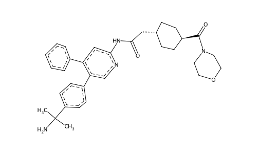 CC(C)(N)c1ccc(-c2cnc(NC(=O)C[C@H]3CC[C@H](C(=O)N4CCOCC4)CC3)cc2-c2ccccc2)cc1